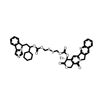 CC[C@@]1(OC(=O)OCSSCOC(=O)OC(CC2c3ccccc3-c3cncn32)C2CCCCC2)C(=O)OCc2c1cc1n(c2=O)Cc2cc3ccccc3nc2-1